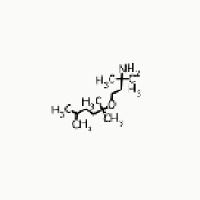 CC(C)CCC(C)(C)OCCC(C)(C)N